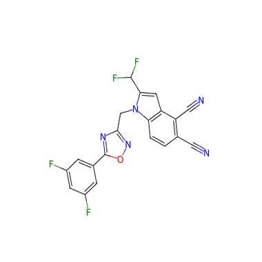 N#Cc1ccc2c(cc(C(F)F)n2Cc2noc(-c3cc(F)cc(F)c3)n2)c1C#N